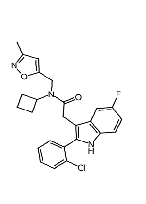 Cc1cc(CN(C(=O)Cc2c(-c3ccccc3Cl)[nH]c3ccc(F)cc23)C2CCC2)on1